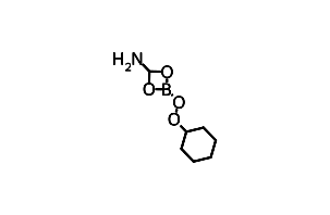 NC1OB(OOC2CCCCC2)O1